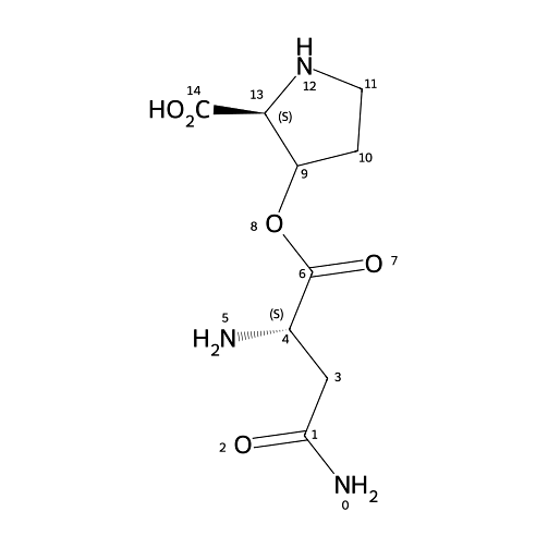 NC(=O)C[C@H](N)C(=O)OC1CCN[C@@H]1C(=O)O